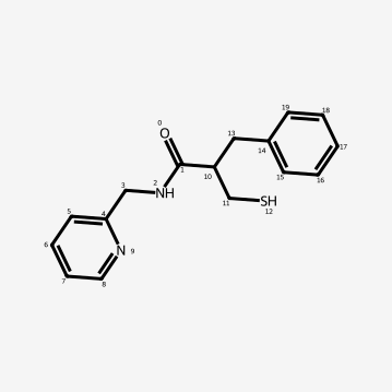 O=C(NCc1ccccn1)C(CS)Cc1ccccc1